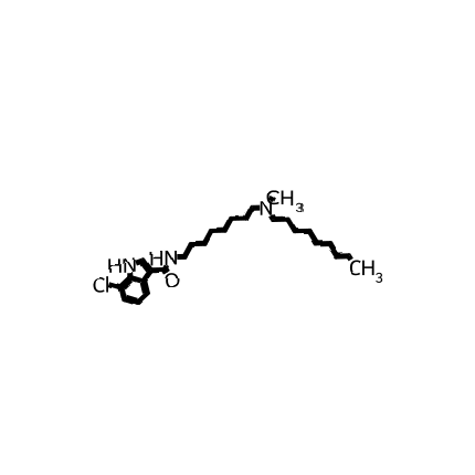 CCCCCCCCCN(C)CCCCCCCCNC(=O)c1c[nH]c2c(Cl)cccc12